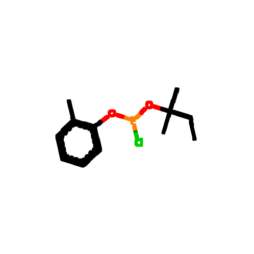 CCC(C)(C)OP(Cl)Oc1ccccc1C